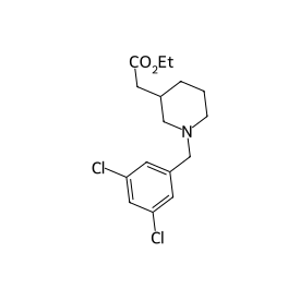 CCOC(=O)CC1CCCN(Cc2cc(Cl)cc(Cl)c2)C1